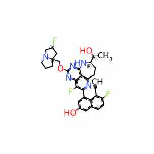 C#Cc1c(F)ccc2cc(O)cc(-c3nc4c5c(nc(OC[C@@]67CCCN6C[C@H](F)C7)nc5c3F)N[C@@H]([C@@H](C)O)CC4)c12